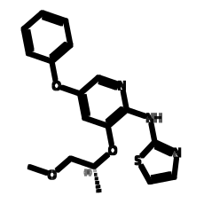 COC[C@@H](C)Oc1cc(Oc2ccccc2)cnc1Nc1nccs1